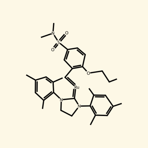 CCCOc1ccc(S(=O)(=O)N(C)C)cc1[CH]=[Ru]=[C]1N(c2c(C)cc(C)cc2C)CCN1c1c(C)cc(C)cc1C